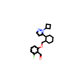 O=Cc1c(F)cccc1OCC1CCCCC1c1ccnn1C1CCC1